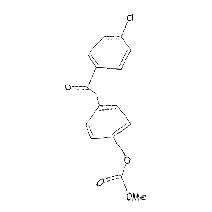 COC(=O)Oc1ccc(C(=O)c2ccc(Cl)cc2)cc1